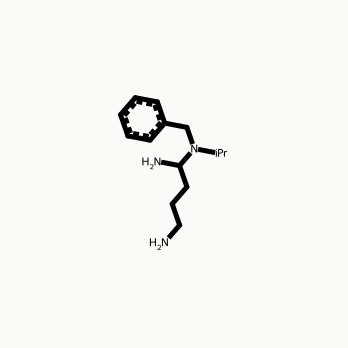 CC(C)N(Cc1ccccc1)C(N)CCCN